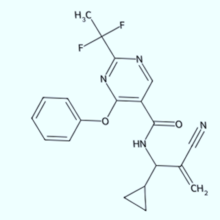 C=C(C#N)C(NC(=O)c1cnc(C(C)(F)F)nc1Oc1ccccc1)C1CC1